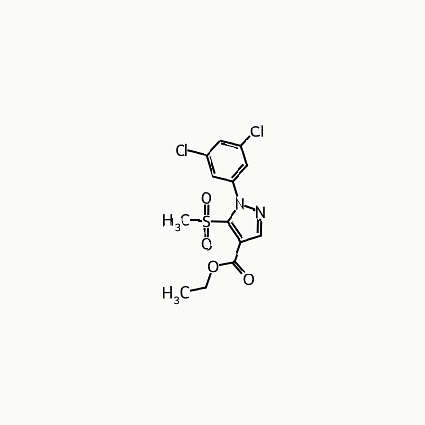 CCOC(=O)c1cnn(-c2cc(Cl)cc(Cl)c2)c1S(C)(=O)=O